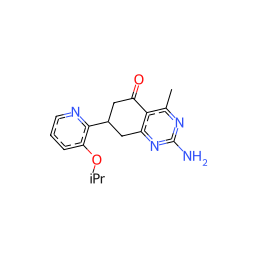 Cc1nc(N)nc2c1C(=O)CC(c1ncccc1OC(C)C)C2